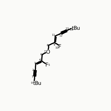 CC(C)(C)C#CC=C(F)COCC(F)=CC#CC(C)(C)C